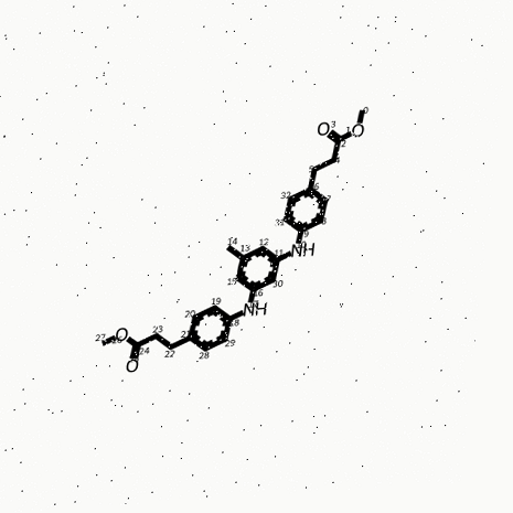 COC(=O)CCc1ccc(Nc2cc(C)cc(Nc3ccc(CCC(=O)OC)cc3)c2)cc1